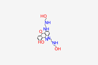 O=C1c2cccc(O)c2-c2nn(CCNCCO)c3ccc(NCCNCCO)c1c23